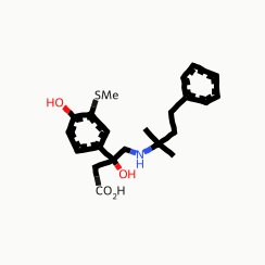 CSc1cc(C(O)(CNC(C)(C)CCc2ccccc2)CC(=O)O)ccc1O